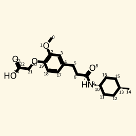 COc1cc(CCC(=O)N[C@H]2CC[C@H](C)CC2)ccc1OCC(=O)O